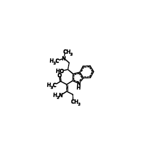 CC/C(N)=C(/C(C)=O)c1[nH]c2ccccc2c1C(O)CN(C)C